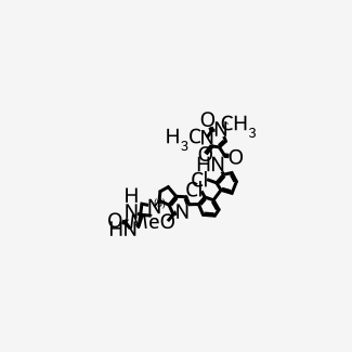 COc1nc(-c2cccc(-c3cccc(NC(=O)c4cn(C)c(=O)n(C)c4=O)c3Cl)c2Cl)cc2c1[C@@H](N1CC3(CNC(=O)N3)C1)CC2